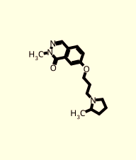 CC1CCCN1CCCOc1ccc2cnn(C)c(=O)c2c1